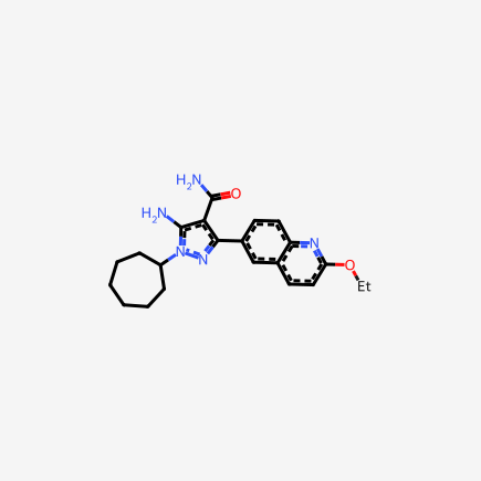 CCOc1ccc2cc(-c3nn(C4CCCCCC4)c(N)c3C(N)=O)ccc2n1